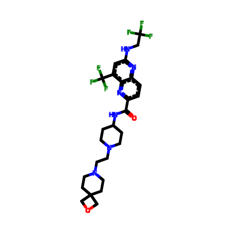 O=C(NC1CCN(CCN2CCC3(CC2)COC3)CC1)c1ccc2nc(NCC(F)(F)F)cc(C(F)(F)F)c2n1